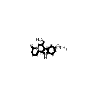 CCC1CN2C(=S)CCC=C2c2[nH]c3ccc(OC)cc3c21